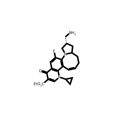 CCOC(=O)c1cn(C2CC2)c2c3c(c(F)cc2c1=O)N1C[C@H](CN)CC1CC/C=C\3